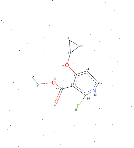 CCOC(=O)c1c(OC2CC2)ccnc1F